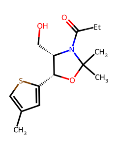 CCC(=O)N1[C@@H](CO)[C@@H](c2cc(C)cs2)OC1(C)C